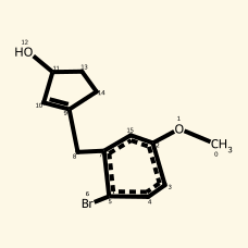 COc1ccc(Br)c(CC2=CC(O)CC2)c1